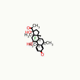 CC(=O)[C@@]1(O)CCC23C[C@@]24C[C@@H](C)C2=CC(=O)C=C[C@]2(C)[C@@]4(F)[C@@H](O)C[C@]31C